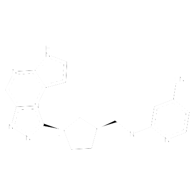 N#Cc1ccnc(NC[C@H]2CC[C@@H](c3nnc4cnc5[nH]ccc5n34)C2)c1